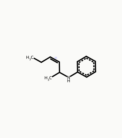 CC/C=C\C(C)Nc1ccccc1